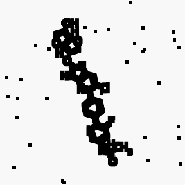 C/[SH](=O)=N\c1cnc(-c2ccc(-c3nc4[nH]c(O[C@@H]5CO[C@H]6[C@@H]5OC[C@H]6O)nc4cc3Cl)cc2)c(F)c1